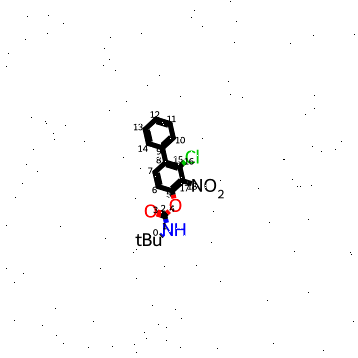 CC(C)(C)NC(=O)Oc1ccc(-c2ccccc2)c(Cl)c1[N+](=O)[O-]